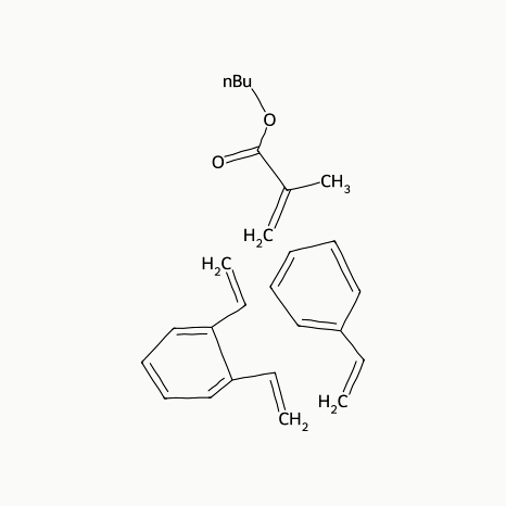 C=C(C)C(=O)OCCCC.C=Cc1ccccc1.C=Cc1ccccc1C=C